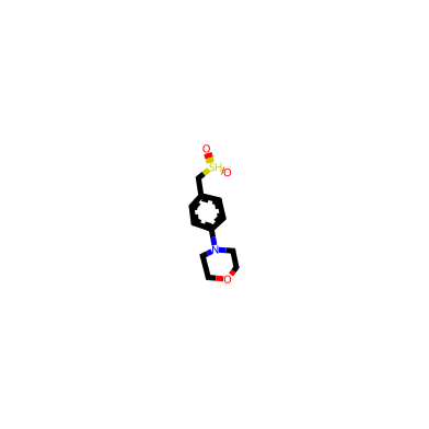 O=[SH](=O)Cc1ccc(N2CCOCC2)cc1